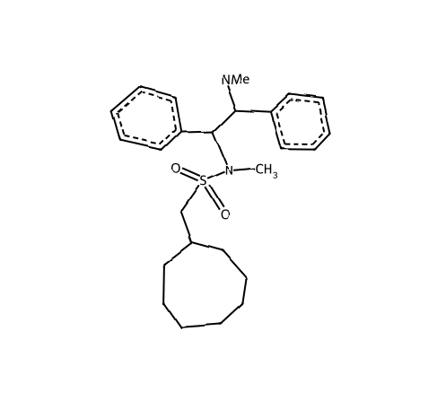 CNC(c1ccccc1)C(c1ccccc1)N(C)S(=O)(=O)CC1CCCCCCC1